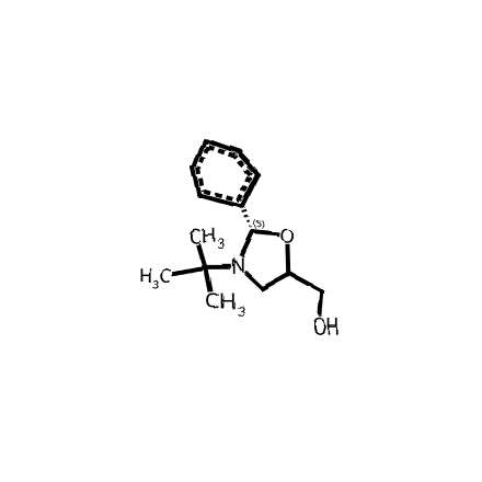 CC(C)(C)N1CC(CO)O[C@H]1c1ccccc1